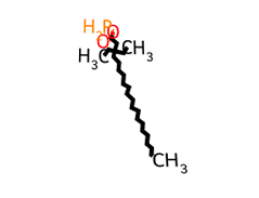 CCCCCCCCCCCCCCCCCCC(CC)(CC)CC(=O)OP